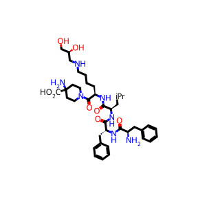 CC(C)C[C@@H](NC(=O)[C@@H](Cc1ccccc1)NC(=O)[C@H](N)Cc1ccccc1)C(=O)N[C@H](CCCCNC[C@H](O)CO)C(=O)N1CCC(N)(C(=O)O)CC1